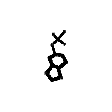 FC(F)(F)Oc1ccc2ncsc2c1